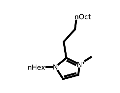 CCCCCCCCCCc1n(CCCCCC)cc[n+]1C